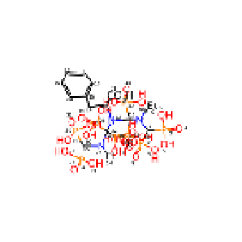 CCN(C(P(=O)(O)O)P(=O)(O)O)C(N([C@@H](Cc1ccccc1)C(=O)O)C(N(CC)C(P(=O)(O)O)P(=O)(O)O)(P(=O)(O)O)P(=O)(O)O)(P(=O)(O)O)P(=O)(O)O